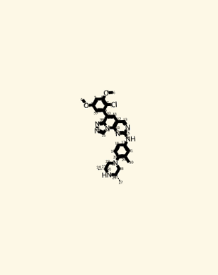 COc1cc(OC)c(Cl)c(-c2cc3cnc(Nc4ccc(N5C[C@@H](C)N[C@@H](C)C5)c(C)c4)nc3n3cnnc23)c1